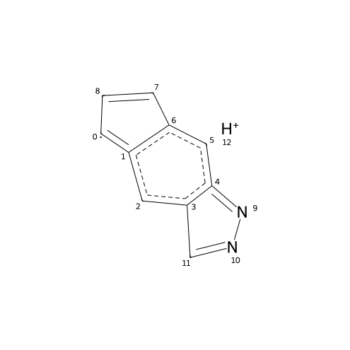 [C]1=c2cc3c(cc2C=C1)=NN=C3.[H+]